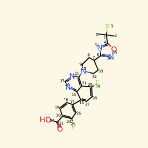 CC(C)(F)c1nc(C2CCN(c3ncnc4c(-c5ccc(C(=O)O)c(F)c5)ccc(F)c34)CC2)no1